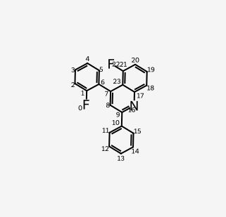 Fc1ccccc1-c1cc(-c2ccccc2)nc2cccc(F)c12